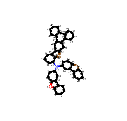 c1ccc2c(c1)oc1ccc(N(c3ccc4sc5ccccc5c4c3)c3cccc4c3sc3cc5c6ccccc6c6ccccc6c5cc34)cc12